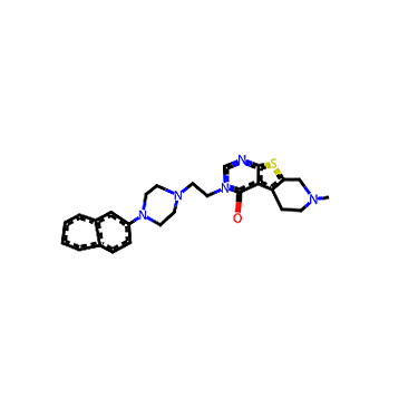 CN1CCc2c(sc3ncn(CCN4CCN(c5ccc6ccccc6c5)CC4)c(=O)c23)C1